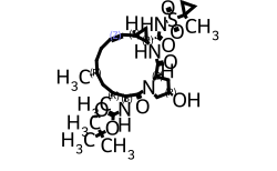 C[C@@H]1CC/C=C\[C@@H]2C[C@@]2(C(=O)NS(=O)(=O)C2(C)CC2)NC(=O)[C@@H]2C[C@@H](O)CN2C(=O)[C@@H](NC(=O)OC(C)(C)C)[C@H](C)C1